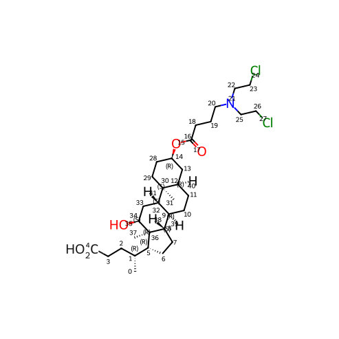 C[C@H](CCC(=O)O)[C@H]1CC[C@H]2[C@@H]3CC[C@@H]4C[C@H](OC(=O)CCCN(CCCl)CCCl)CC[C@]4(C)[C@H]3C[C@H](O)[C@]12C